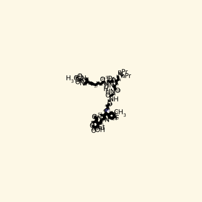 CCCN(CCC)CCCC[C@H](NC(=O)[C@@H](NC(=O)CCCC#Cc1cnc(S(C)(=O)=O)nc1)C(C)C)C(=O)NCC(=O)NCOC/C=C/c1c2c(nc3cc(F)c(C)cc13)-c1cc3c(c(=O)n1C2)COC(=O)[C@]3(O)CC